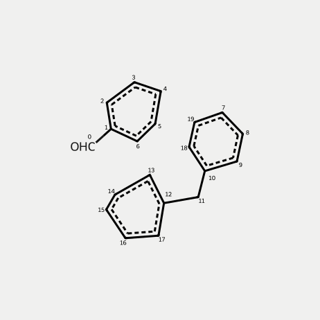 O=Cc1ccccc1.c1ccc(Cc2ccccc2)cc1